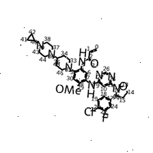 C=CC(=O)Nc1cc(Nc2cc(N3OCC[C@@H]3c3ccc(Cl)c(F)c3)ncn2)c(OC)cc1N1CCC(N2CCN(C3CC3)CC2)CC1